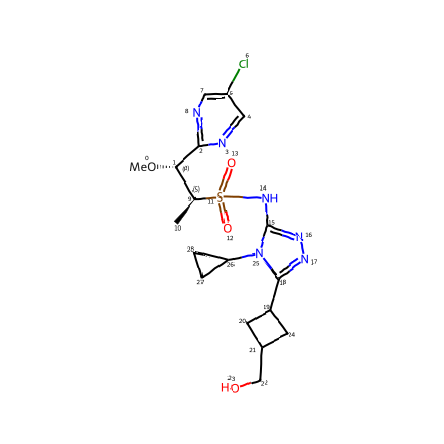 CO[C@H](c1ncc(Cl)cn1)[C@H](C)S(=O)(=O)Nc1nnc(C2CC(CO)C2)n1C1CC1